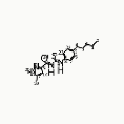 CCCCCc1ccc(NC(=S)NC(=O)c2cc(C)n(C)n2)cc1